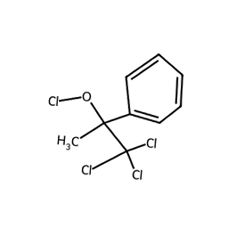 CC(OCl)(c1ccccc1)C(Cl)(Cl)Cl